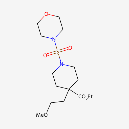 CCOC(=O)C1(CCOC)CCN(S(=O)(=O)N2CCOCC2)CC1